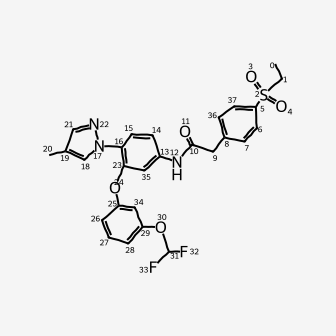 CCS(=O)(=O)c1ccc(CC(=O)Nc2ccc(-n3cc(C)cn3)c(Oc3cccc(OC(F)F)c3)c2)cc1